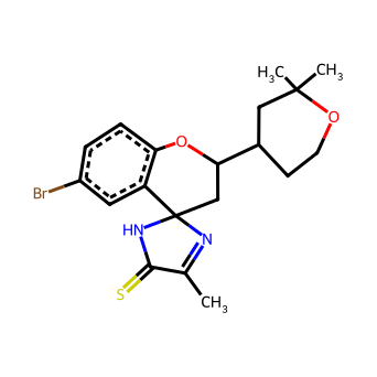 CC1=NC2(CC(C3CCOC(C)(C)C3)Oc3ccc(Br)cc32)NC1=S